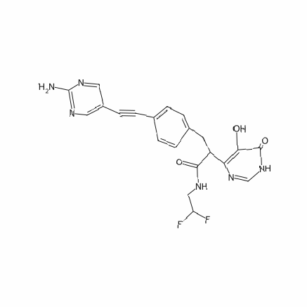 Nc1ncc(C#Cc2ccc(CC(C(=O)NCC(F)F)c3nc[nH]c(=O)c3O)cc2)cn1